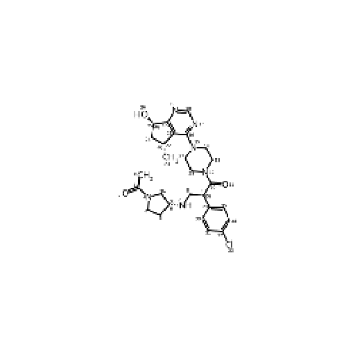 CC(=O)N1CC[C@@H](NC[C@@H](C(=O)N2CCN(c3ncnc4c3[C@H](C)C[C@H]4O)CC2)c2ccc(Cl)cc2)C1